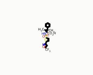 C[C@H]1[C@](NS(=O)(=O)c2ccc(-c3cc(C(F)(F)F)on3)s2)(C(=O)O)[C@]1(C)c1ccccc1